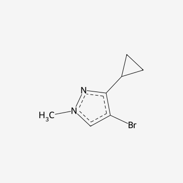 Cn1cc(Br)c(C2CC2)n1